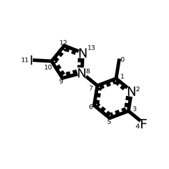 Cc1nc(F)ccc1-n1cc(I)cn1